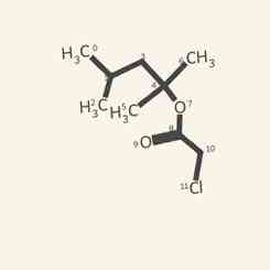 CC(C)CC(C)(C)OC(=O)CCl